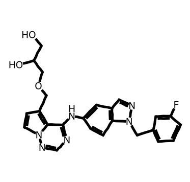 OCC(O)COCc1ccn2ncnc(Nc3ccc4c(cnn4Cc4cccc(F)c4)c3)c12